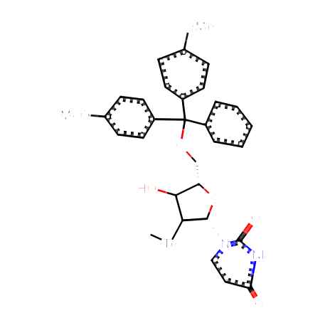 COc1ccc(C(OC[C@@H]2O[C@H](n3ccc(=O)[nH]c3=O)C([Te]C)C2O)(c2ccccc2)c2ccc(OC)cc2)cc1